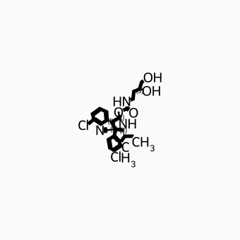 CCC(CC)[C@H]1N[C@H](OC(=O)NCC[C@H](O)CO)[C@H](c2cccc(Cl)c2)[C@@]1(C#N)c1ccc(Cl)cc1